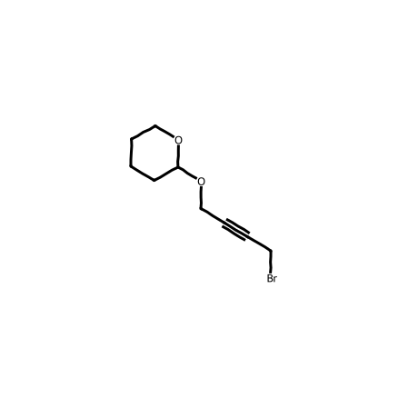 BrCC#CCOC1CCCCO1